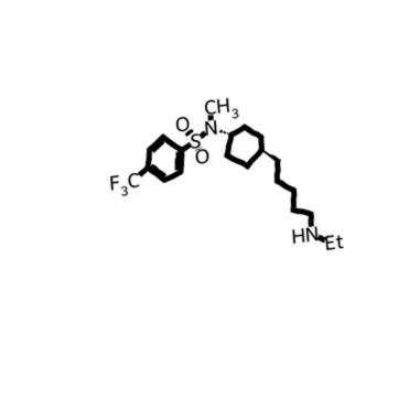 CCNCCCCC[C@H]1CC[C@H](N(C)S(=O)(=O)c2ccc(C(F)(F)F)cc2)CC1